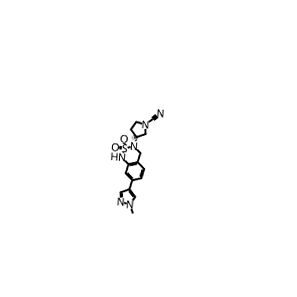 Cn1cc(-c2ccc3c(c2)NS(=O)(=O)N([C@@H]2CCN(C#N)C2)C3)cn1